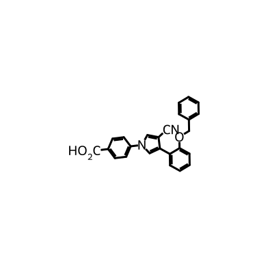 N#Cc1cn(-c2ccc(C(=O)O)cc2)cc1-c1ccccc1OCc1ccccc1